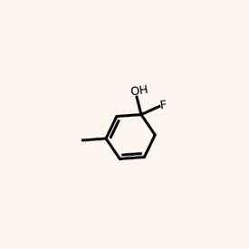 CC1=CC(O)(F)CC=C1